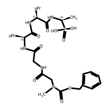 CCC[C@H](NC(=O)CNC(=O)CN(C)C(=O)OCc1ccccc1)C(=O)N[C@@H](CCC)C(=O)N[C@@H](C)P(=O)(O)O